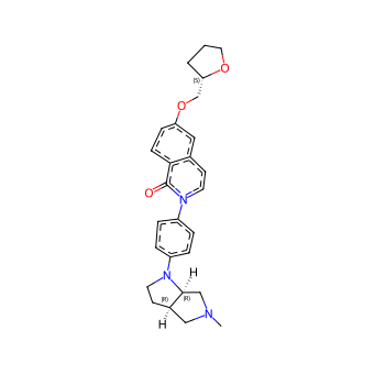 CN1C[C@H]2CCN(c3ccc(-n4ccc5cc(OC[C@@H]6CCCO6)ccc5c4=O)cc3)[C@H]2C1